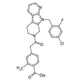 Cc1cc(CC(=O)N2CCc3c(n(Cc4ccc(Cl)cc4F)c4ncccc34)C2)ccc1C(=O)O